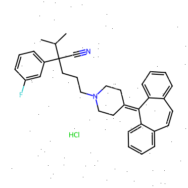 CC(C)C(C#N)(CCCN1CCC(=C2c3ccccc3C=Cc3ccccc32)CC1)c1cccc(F)c1.Cl